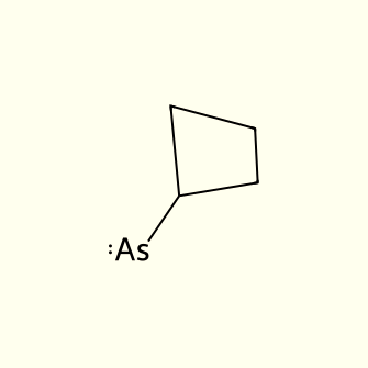 [As]C1CCC1